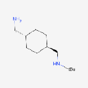 CC(C)(C)NC[C@H]1CC[C@H](CN)CC1